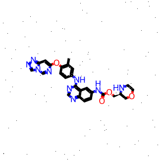 Cc1cc(Nc2ncnc3ccc(NC(=O)OC[C@@H]4COCCN4)cc23)ccc1Oc1cc2nncn2cn1